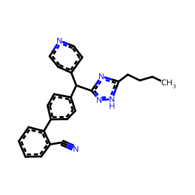 CCCCc1nc(C(c2ccncc2)c2ccc(-c3ccccc3C#N)cc2)n[nH]1